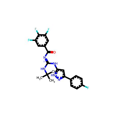 CC(C)(C)N/C(=N/C(=O)c1cc(F)c(F)c(F)c1)Nc1cc(-c2ccc(F)cc2)n[nH]1